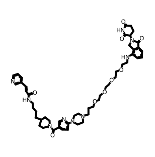 O=C(/C=C/c1cccnc1)NCCCCC1CCN(C(=O)c2ccc(N3CCN(CCCOCCOCCOCCOCCNc4cccc5c4CN(C4CCC(=O)NC4=O)C5=O)CC3)nc2)CC1